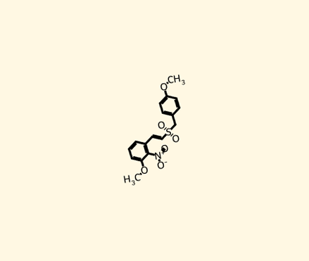 COc1ccc(CS(=O)(=O)C=Cc2cccc(OC)c2[N+](=O)[O-])cc1